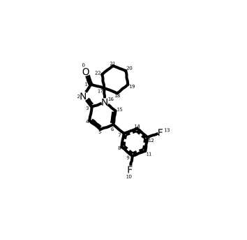 O=C1N=C2C=CC(c3cc(F)cc(F)c3)=CN2C12CCCCC2